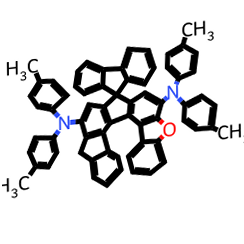 Cc1ccc(N(c2ccc(C)cc2)c2cc3c(c4c2Cc2ccccc2-4)-c2c(cc(N(c4ccc(C)cc4)c4ccc(C)cc4)c4oc5ccccc5c24)C32c3ccccc3-c3ccccc32)cc1